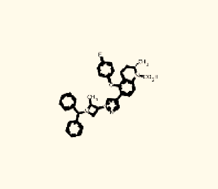 CC1C(n2cc(-c3ccc4c(c3Oc3ccc(F)cc3)CC[C@H](C)N4C(=O)O)cn2)CN1C(c1ccccc1)c1ccccc1